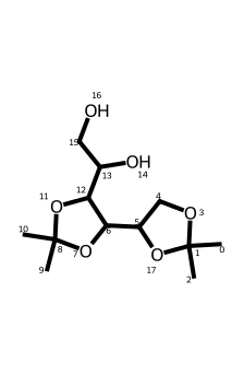 CC1(C)OCC(C2OC(C)(C)OC2C(O)CO)O1